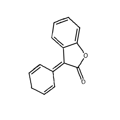 O=C1Oc2ccccc2C1=C1C=CCC=C1